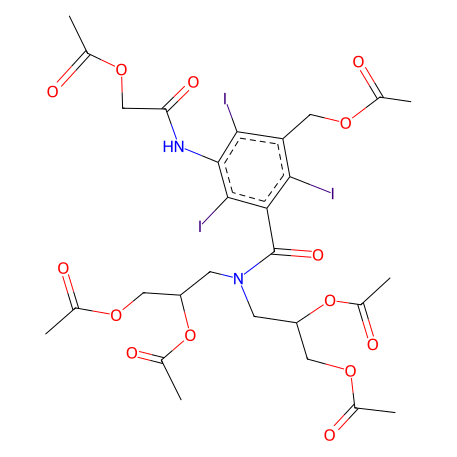 CC(=O)OCC(=O)Nc1c(I)c(COC(C)=O)c(I)c(C(=O)N(CC(COC(C)=O)OC(C)=O)CC(COC(C)=O)OC(C)=O)c1I